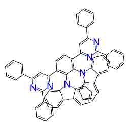 c1ccc(-c2cc(-c3ccc(-c4cc(-c5ccccc5)nc(-c5ccccc5)n4)c(-n4c5ccccc5c5ccccc54)c3-n3c4ccccc4c4ccccc43)nc(-c3ccccc3)n2)cc1